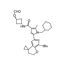 Cc1c(C(=O)N[C@H]2C[C@H](OC=O)C2)cc(-c2cc(C(C)(C)C)c3c(c2)C2(CCO3)CC2)n1CC1CCCCC1